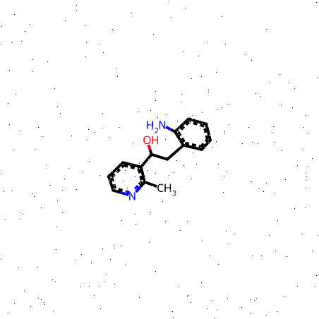 Cc1ncccc1C(O)Cc1ccccc1N